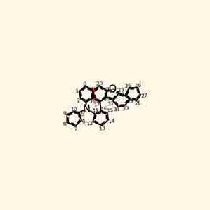 c1ccc(N(c2ccccc2)c2ccccc2-c2cccc3oc4c5ccccc5ccc4c23)cc1